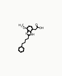 COc1ccc(CC(=O)O)c2[nH]c(CCCCc3ccccc3)nc12